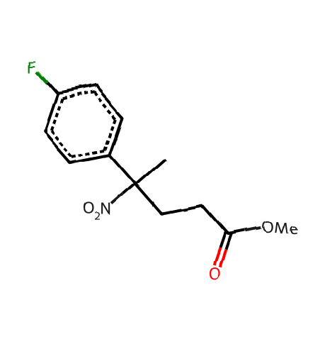 COC(=O)CCC(C)(c1ccc(F)cc1)[N+](=O)[O-]